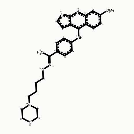 COc1ccc2c(Nc3ccc(C(C)=NOCCCCN4CCOCC4)cc3)c3ccoc3nc2c1